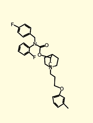 Cc1cccc(OCCC[N+]23CCC(CC2)C(OC(=O)N(Cc2ccc(F)cc2)c2ccccc2F)C3)c1